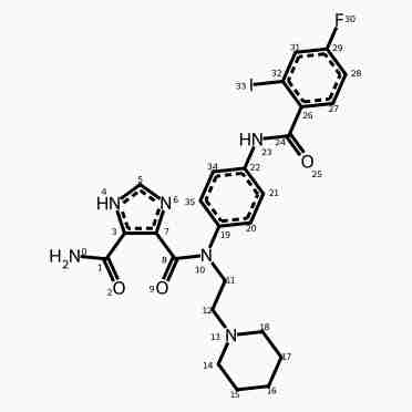 NC(=O)c1[nH]cnc1C(=O)N(CCN1CCCCC1)c1ccc(NC(=O)c2ccc(F)cc2I)cc1